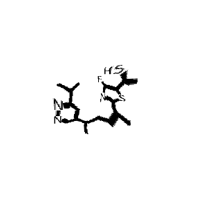 CC(C)c1cc(C(C)CCC(C)c2nc(F)c(C(C)S)s2)cnn1